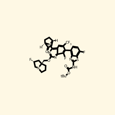 CC(C)(C)OC(=O)Nc1nc2c(-c3c(C(F)(F)F)cc4c(N5[C@@H]6CC[C@@H]5C(=O)C6)nc(OC[C@@]56CCCN5C[C@H](F)C6)nc4c3F)ccc(F)c2s1